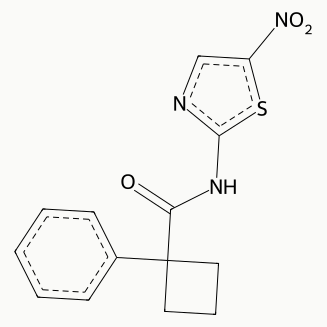 O=C(Nc1ncc([N+](=O)[O-])s1)C1(c2ccccc2)CCC1